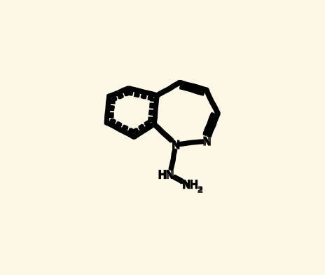 NNN1N=CC=Cc2ccccc21